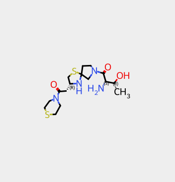 C[C@@H](O)[C@H](N)C(=O)N1CCC2(C1)N[C@H](CC(=O)N1CCSCC1)CS2